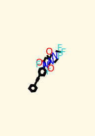 CC12CC(=O)N(c3c(F)cc(C#Cc4ccccc4)cc3F)C(=O)N1CCN(CC(F)(F)F)C2=O